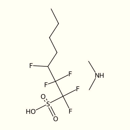 CCCCC(F)C(F)(F)C(F)(F)S(=O)(=O)O.CNC